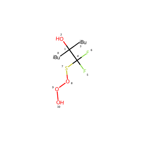 CCC(C)C(O)(C(C)CC)C(F)(F)SOOO